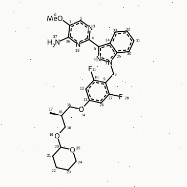 COc1cnc(-c2nn(Cc3c(F)cc(OC[C@H](C)COC4CCCCO4)cc3F)c3ccccc23)nc1N